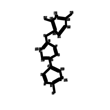 Cc1ccc(-c2ccc(Cc3ccc(C)pc3C)pc2)cp1